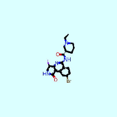 CCN1CCC[C@H](C(=O)Nc2nc3c(I)c[nH]c(=O)c3c3cc(Br)ccc23)C1